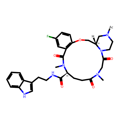 CC(=O)N1CCN2C(=O)CN(C)C(=O)CC[C@@H](C(=O)NCCc3c[nH]c4ccccc34)N(C)C(=O)c3cc(F)ccc3OC[C@@H]2C1